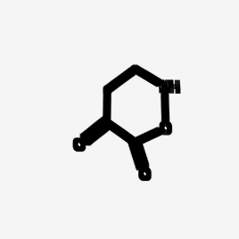 O=C1CCNOC1=O